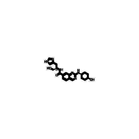 O=C(N[C@H](CO)Cc1c[nH]cn1)c1ccc2cnc(N[C@H]3CC[C@H](O)CC3)nc2c1